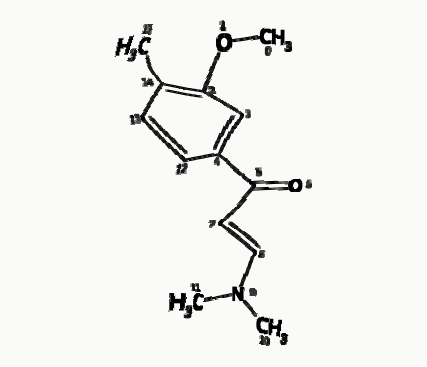 COc1cc(C(=O)/C=C/N(C)C)ccc1C